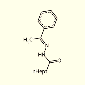 CCCCCCCC(=O)NN=C(C)c1ccccc1